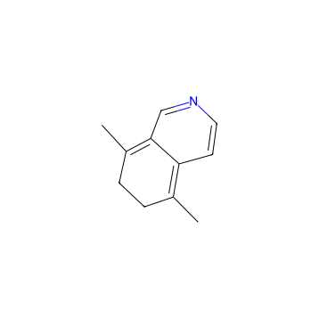 CC1=c2ccncc2=C(C)CC1